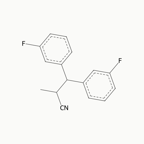 CC(C#N)C(c1cccc(F)c1)c1cccc(F)c1